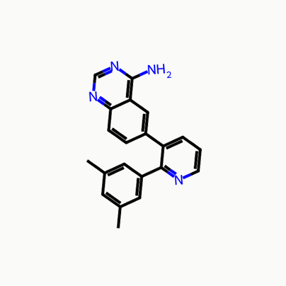 Cc1cc(C)cc(-c2ncccc2-c2ccc3ncnc(N)c3c2)c1